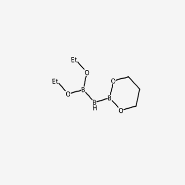 CCOB(BB1OCCCO1)OCC